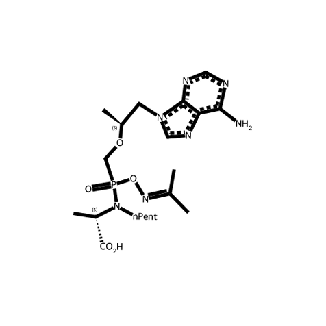 CCCCCN([C@@H](C)C(=O)O)P(=O)(CO[C@@H](C)Cn1cnc2c(N)ncnc21)ON=C(C)C